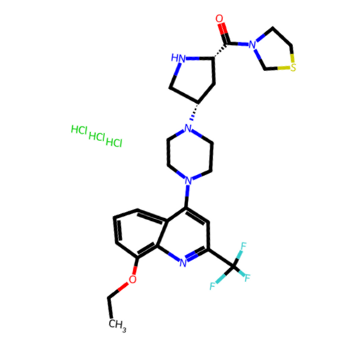 CCOc1cccc2c(N3CCN([C@@H]4CN[C@H](C(=O)N5CCSC5)C4)CC3)cc(C(F)(F)F)nc12.Cl.Cl.Cl